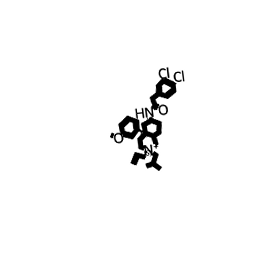 C=CC[N@@+]1(CC(C)C)CC[C@]2(c3cccc(OC)c3)C[C@@H](NC(=O)Cc3ccc(Cl)c(Cl)c3)CCC2C1